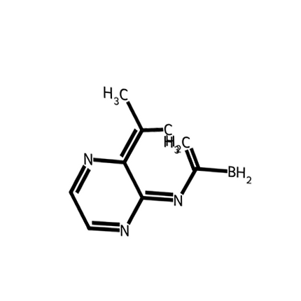 BC(=C)/N=C1/N=CC=NC1=C(C)C